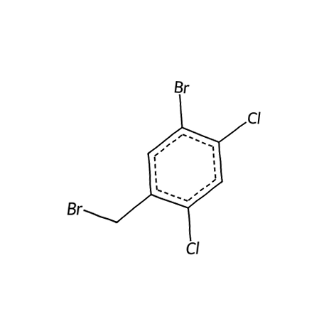 Clc1cc(Cl)c(CBr)cc1Br